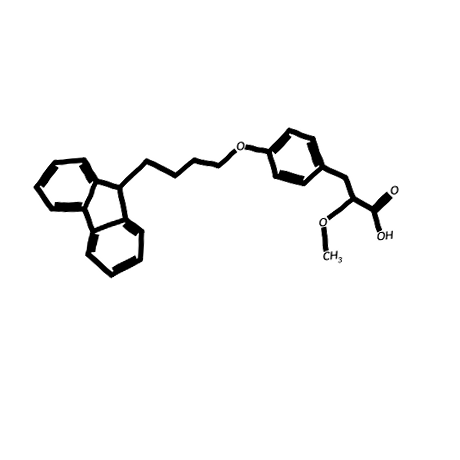 COC(Cc1ccc(OCCCCC2c3ccccc3-c3ccccc32)cc1)C(=O)O